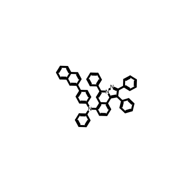 c1ccc(-c2nn3c(-c4ccccc4)cc4c(N(c5ccccc5)c5ccc(-c6ccc7ccccc7c6)cc5)cccc4c3c2-c2ccccc2)cc1